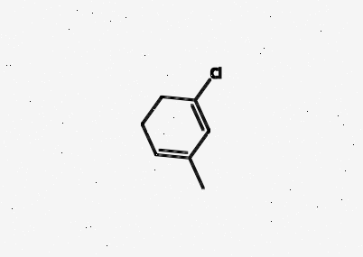 CC1=CCCC(Cl)=C1